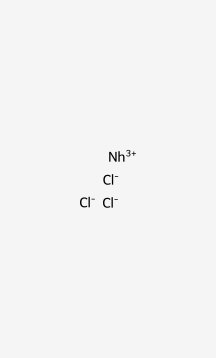 [Cl-].[Cl-].[Cl-].[Nh+3]